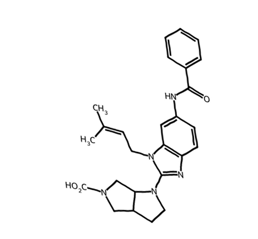 CC(C)=CCn1c(N2CCC3CN(C(=O)O)CC32)nc2ccc(NC(=O)c3ccccc3)cc21